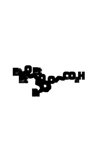 CCC(=CC(=O)N(CC)CC)c1cc2c(Br)ccc(OCCCC(=O)O)c2o1